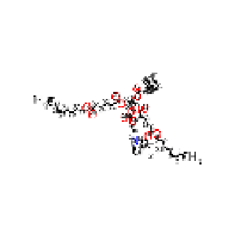 CC/C=C\CCCCOC(=O)CCCCC(=O)OCC(COC(=O)CCCCC(=O)OCCCC/C=C\CC)(COC(=O)CC12CC3CC(CC(C3)C1)C2)COC(=O)OCCCN(CC)CC